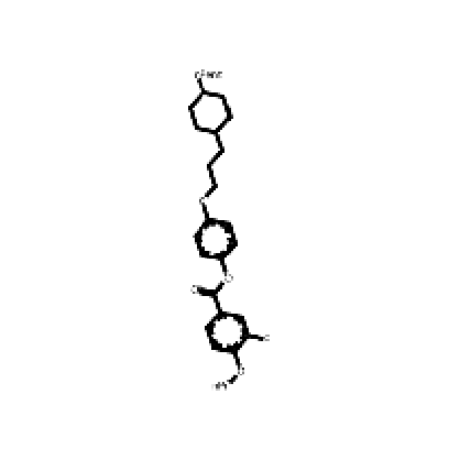 CCCCCC1CCC(CCCOc2ccc(OC(=O)c3ccc(OCCC)c(F)c3)cc2)CC1